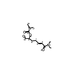 CN(C)C(=O)C=CCCC(C=O)OC(=O)N(C)C